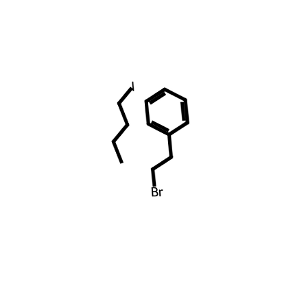 BrCCc1ccccc1.CCCCI